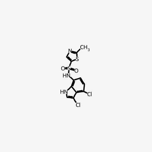 Cc1ncc(S(=O)(=O)Nc2ccc(Cl)c3c(Cl)c[nH]c23)s1